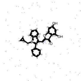 O=C1/C(=C/c2c(-c3ccccc3)n(CC3CC3)c3ccccc23)Oc2cc(O)cc(O)c21